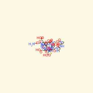 CSC[C@H](NC(=O)CNC(=O)[C@H](CC(C)C)NC(=O)[C@@H]1CCCN1C(=O)COCCNC(=O)[C@H](Cc1ccc(C(C)=O)cc1)NC(=O)[C@@H](CCC(=O)O)NC(=O)[C@@H](CCC(=O)O)NC(=O)[C@@H](CCC(=O)O)NC(=O)[C@@H](CCC(=O)O)NC(=O)[C@@H](CCC(=O)O)NC(=O)COCCN)C(=O)NC(C)C